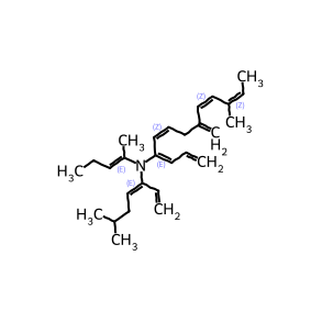 C=C/C=C(\C=C/CC(=C)/C=C\C(C)=C/C)N(/C(C)=C/CC)/C(C=C)=C/CC(C)C